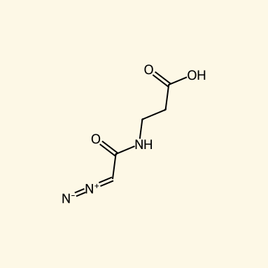 [N-]=[N+]=CC(=O)NCCC(=O)O